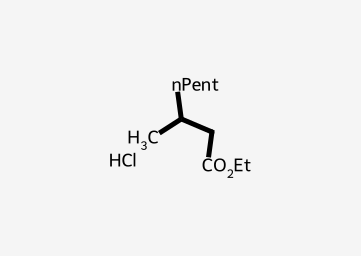 CCCCCC(C)CC(=O)OCC.Cl